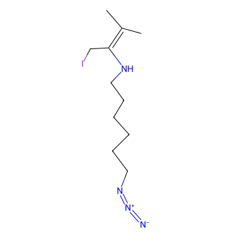 CC(C)=C(CI)NCCCCCCN=[N+]=[N-]